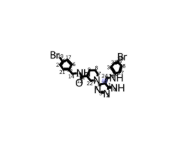 N=C1N=CN=C(N2CCCC(C(=O)NCc3ccc(Br)cc3)C2)/C1=C/Nc1ccc(Br)cc1